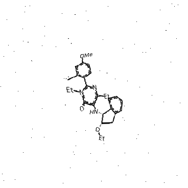 CCO[C@H]1Cc2ccccc2[C@H]1Nc1c(CC)nc(-c2ccc(OC)cc2C)n(CC)c1=O